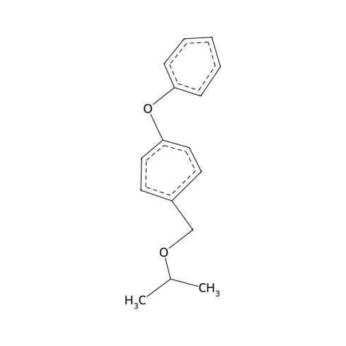 CC(C)OCc1ccc(Oc2ccccc2)cc1